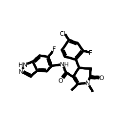 CC1=C(C(=O)Nc2cc3cn[nH]c3cc2F)C(c2ccc(Cl)cc2F)CC(=O)N1C